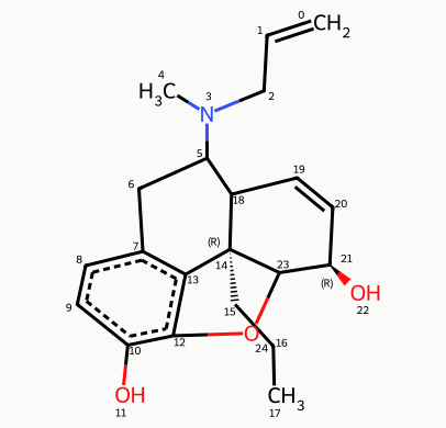 C=CCN(C)C1Cc2ccc(O)c3c2[C@@]2(CCC)C1C=C[C@@H](O)C2O3